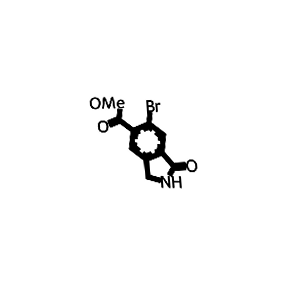 COC(=O)c1cc2c(cc1Br)C(=O)NC2